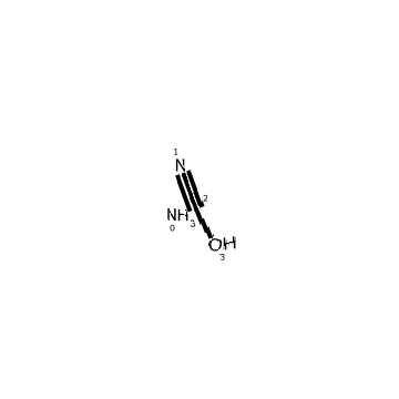 N.N#CO